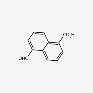 O=Cc1cccc2c(C(=O)O)cccc12